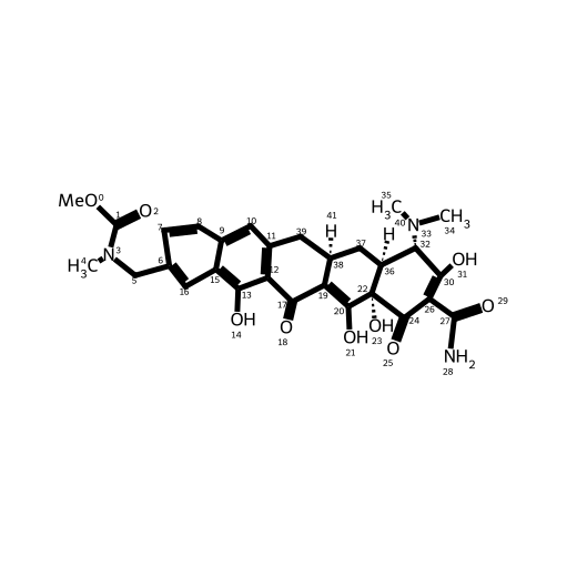 COC(=O)N(C)Cc1ccc2cc3c(c(O)c2c1)C(=O)C1=C(O)[C@]2(O)C(=O)C(C(N)=O)=C(O)[C@@H](N(C)C)[C@@H]2C[C@@H]1C3